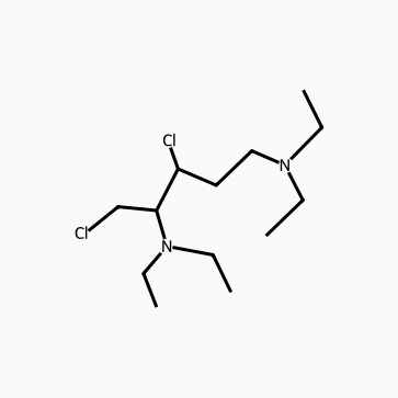 CCN(CC)CCC(Cl)C(CCl)N(CC)CC